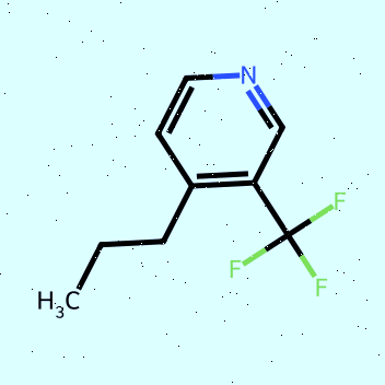 CCCc1ccncc1C(F)(F)F